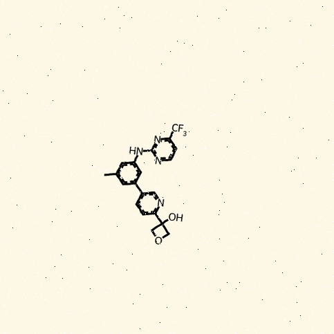 Cc1cc(Nc2nccc(C(F)(F)F)n2)cc(-c2ccc(C3(O)COC3)nc2)c1